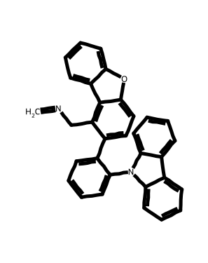 C=NCc1c(-c2ccccc2-n2c3ccccc3c3ccccc32)ccc2oc3ccccc3c12